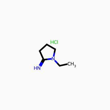 CCN1CCCC1=N.Cl